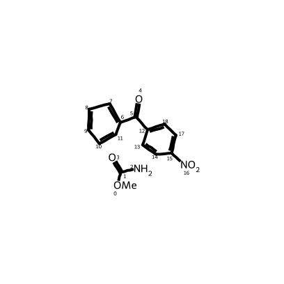 COC(N)=O.O=C(c1ccccc1)c1ccc([N+](=O)[O-])cc1